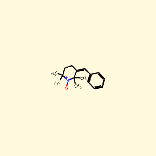 CC1(C)CCC(=Cc2ccccc2)C(C)(C)[NH+]1[O-]